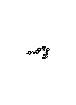 C/C(=N\C(=O)OC(C)(C)C)N1CCC[C@H]1c1nc(-c2ccc3cc(OCc4ccc(C)cc4)ccc3c2)no1